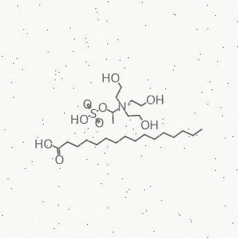 CC(OS(=O)(=O)O)[N+](CCO)(CCO)CCO.CCCCCCCCCCCCCCCC(=O)O